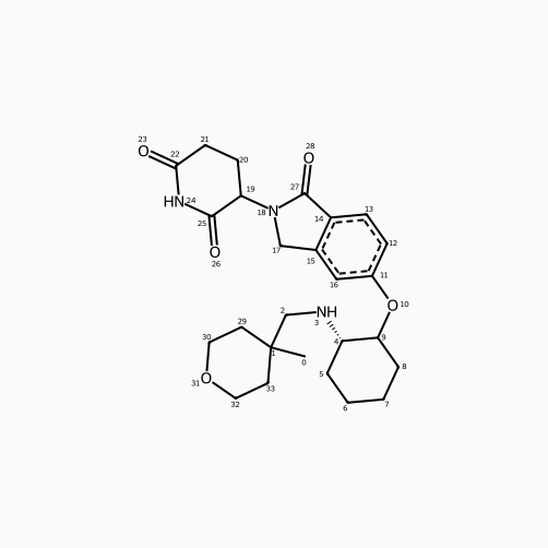 CC1(CN[C@H]2CCCCC2Oc2ccc3c(c2)CN(C2CCC(=O)NC2=O)C3=O)CCOCC1